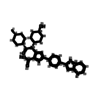 C[C@H]1CC[C@H](C(=O)N(c2cc(-c3ccc(-c4cc5ncccn5n4)cc3)sc2C(=O)O)[C@H]2CC[C@H](O)CC2)CC1